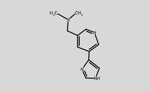 CN(C)Cc1cncc(-c2c[nH]cn2)c1